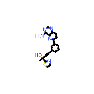 CC(O)(C#Cc1cccc(-c2ccc3ncnc(N)c3n2)c1)c1nccs1